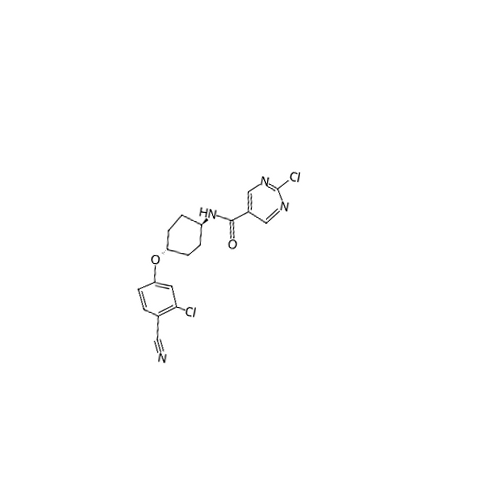 N#Cc1ccc(O[C@H]2CC[C@H](NC(=O)c3cnc(Cl)nc3)CC2)cc1Cl